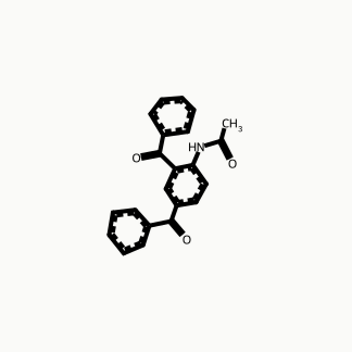 CC(=O)Nc1ccc(C(=O)c2ccccc2)cc1C(=O)c1ccccc1